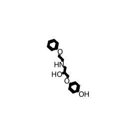 Oc1ccc(OCC(O)CNCCOc2ccccc2)cc1